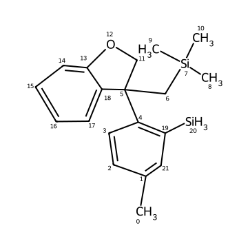 Cc1ccc(C2(C[Si](C)(C)C)COc3ccccc32)c([SiH3])c1